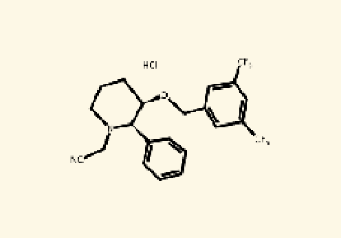 Cl.N#CCN1CCC[C@@H](OCc2cc(C(F)(F)F)cc(C(F)(F)F)c2)[C@H]1c1ccccc1